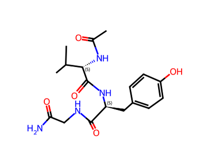 CC(=O)N[C@H](C(=O)N[C@@H](Cc1ccc(O)cc1)C(=O)NCC(N)=O)C(C)C